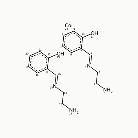 NCCN=Cc1ccccc1O.NCCN=Cc1ccccc1O.[Co]